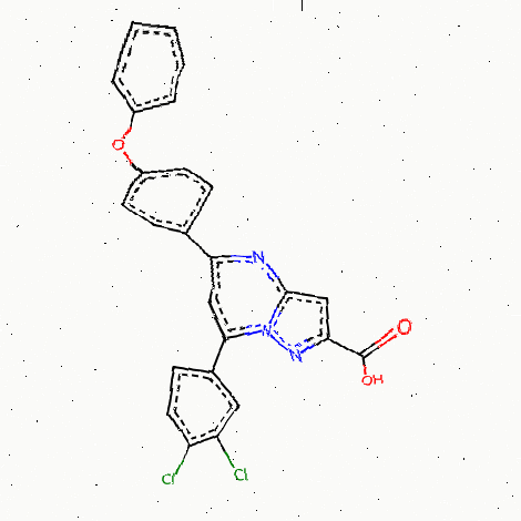 O=C(O)c1cc2nc(-c3ccc(Oc4ccccc4)cc3)cc(-c3ccc(Cl)c(Cl)c3)n2n1